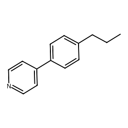 CCCc1ccc(-c2ccncc2)cc1